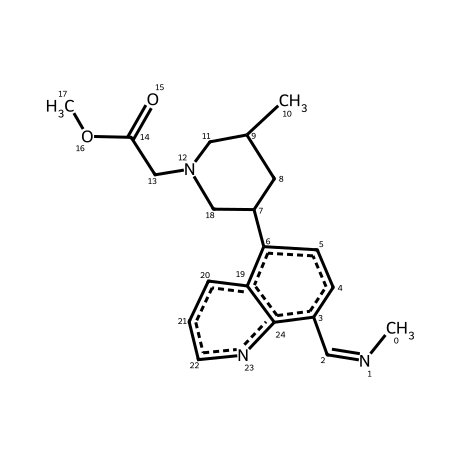 C/N=C\c1ccc(C2CC(C)CN(CC(=O)OC)C2)c2cccnc12